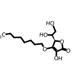 CCCCCCCCOC1=C(O)C(=O)O[C@@H]1C(O)CO